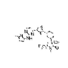 CN1C(=O)[C@](O)(c2cccc(-c3nc(-c4ccnc(Nc5ccn(C)n5)n4)cs3)c2)C[C@H]1C(F)(F)F